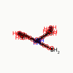 BC(=O)CCOCCOCCOCCOCCNC(=O)CC(C(=O)NCCOCCOCCOCCOC1OC2(O)C(COP(=O)(O)O)C(O)C(O)C12)C(=O)NCCOCCOCCOCCOC1OC2(O)C(COP(=O)(O)O)C(O)C(O)C12